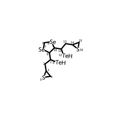 [TeH]C(CC1CS1)C1[Se]C[Se]C1C([TeH])CC1CS1